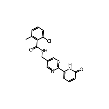 Cc1cccc(Cl)c1C(=O)NCc1cnc(-c2cccc(=O)[nH]2)nc1